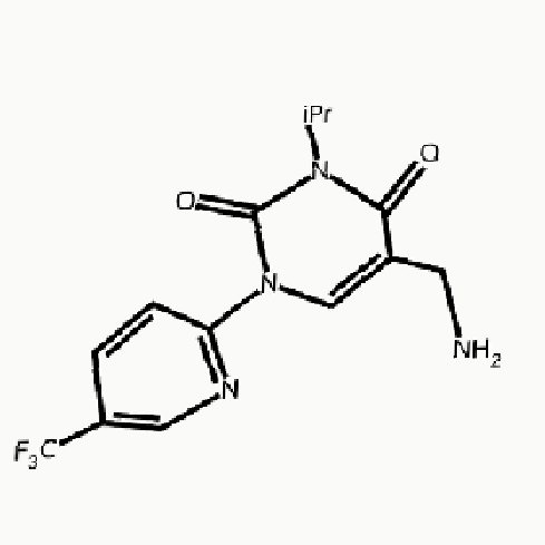 CC(C)n1c(=O)c(CN)cn(-c2ccc(C(F)(F)F)cn2)c1=O